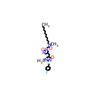 CCCCCCCCCCCCN(C)C(=O)Cn1cc(Cc2cn(C)c(SCc3ccc(F)cc3)nc2=O)cnc1=O